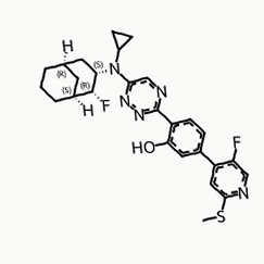 CSc1cc(-c2ccc(-c3ncc(N(C4CC4)[C@H]4C[C@@H]5CCC[C@@H](C5)[C@H]4F)nn3)c(O)c2)c(F)cn1